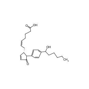 CCCCCC(O)c1ccc(C2C(=O)C=C[C@@H]2C/C=C\CCCC(=O)O)cc1